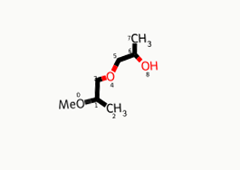 COC(C)COCC(C)O